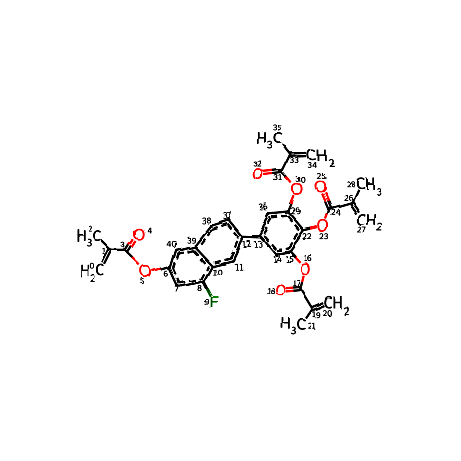 C=C(C)C(=O)Oc1cc(F)c2cc(-c3cc(OC(=O)C(=C)C)c(OC(=O)C(=C)C)c(OC(=O)C(=C)C)c3)ccc2c1